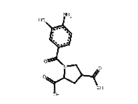 Nc1ccc(C(=O)N2CC(C(=O)O)CC2C(=O)O)cc1O